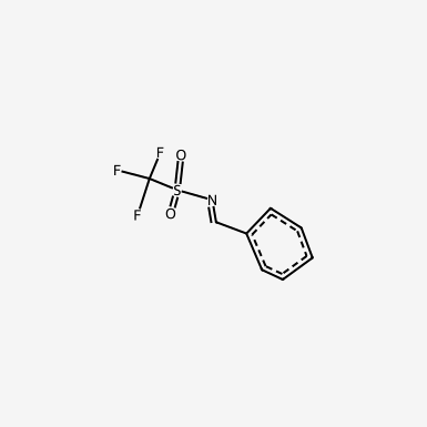 O=S(=O)(/N=C/c1ccccc1)C(F)(F)F